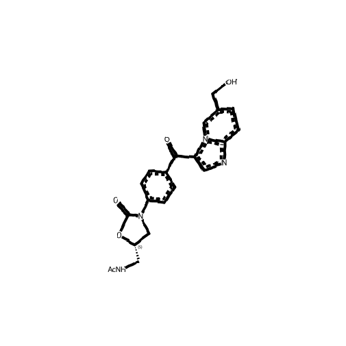 CC(=O)NC[C@H]1CN(c2ccc(C(=O)c3cnc4ccc(CO)cn34)cc2)C(=O)O1